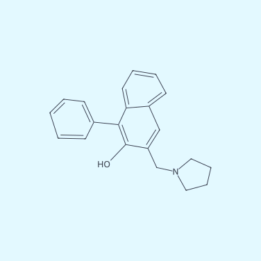 Oc1c(CN2CCCC2)cc2ccccc2c1-c1ccccc1